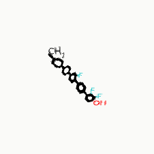 C=CC1CCC(C2CCC(c3ccc(-c4ccc(-c5ccc(O)c(F)c5F)cc4)c(F)c3)CC2)CC1